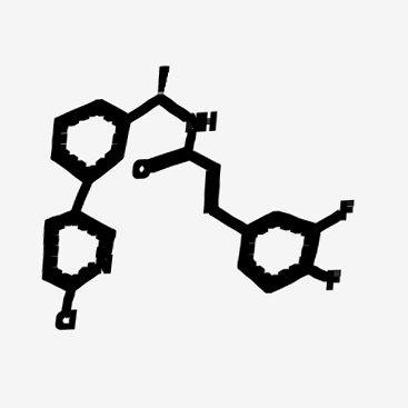 C[C@H](NC(=O)C=Cc1ccc(F)c(F)c1)c1cccc(-c2ccc(Cl)nc2)c1